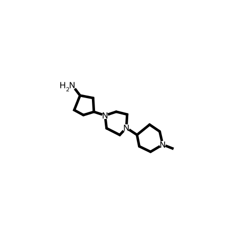 CN1CCC(N2CCN(C3CCC(N)C3)CC2)CC1